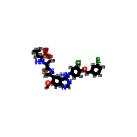 COc1cc2ncnc(Nc3ccc(OCc4cccc(F)c4)c(Cl)c3)c2cc1-c1csc(C(C)NC(CC(C)C)=S(=O)=O)n1